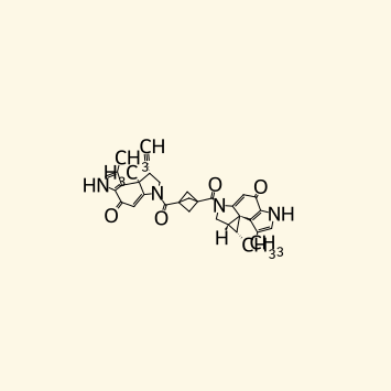 C#C[C@@H]1CN(C(=O)C23CC(C(=O)N4C[C@H]5[C@@H](C)[C@@]56C4=CC(=O)c4[nH]cc(C)c46)(C2)C3)C2=CC(=O)c3[nH]cc(C)c3[C@]21C